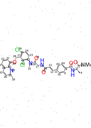 CNC(=O)[C@@H](C)NC(=O)c1ccc(/C=C/C(=O)NCC(=O)N(C)c2ccc(Cl)c(COc3cccc4ccc(C)nc34)c2Cl)cc1